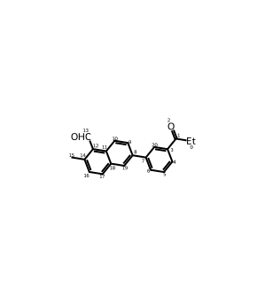 CCC(=O)c1cccc(-c2ccc3c(C=O)c(C)ccc3c2)c1